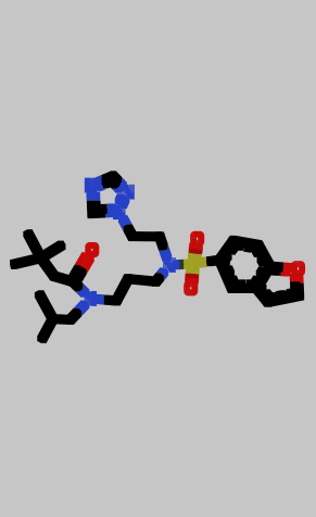 CC(C)CN(CCCN(CCn1cncn1)S(=O)(=O)c1ccc2occc2c1)C(=O)CC(C)(C)C